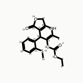 CCOC(=O)OC1=C(C)NC2=C(C(=O)OC2)C1c1ccccc1SC